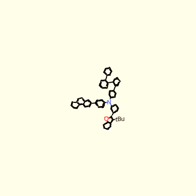 CC(C)(C)c1c(-c2cccc(N(c3ccc(-c4ccc5c(ccc6ccccc65)c4)cc3)c3ccc(-c4ccccc4-c4ccccc4-c4ccccc4)cc3)c2)oc2ccccc12